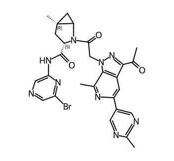 CC(=O)c1nn(CC(=O)N2C3C[C@]3(C)C[C@H]2C(=O)Nc2cncc(Br)n2)c2c(C)nc(-c3cnc(C)nc3)cc12